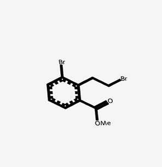 COC(=O)c1cccc(Br)c1CCBr